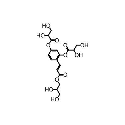 O=C(C=Cc1ccc(OC(=O)C(O)CO)cc1OC(=O)C(O)CO)OCC(O)CO